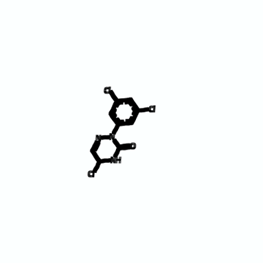 O=C1NC(Cl)C=NN1c1cc(Cl)cc(Cl)c1